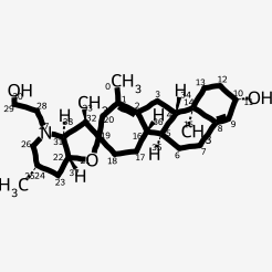 CC1=C2C[C@H]3[C@@H](CCC4=C[C@@H](O)CC[C@@]43C)[C@@H]2CCC2(C1)O[C@@H]1C[C@H](C)CN(CCO)[C@H]1[C@H]2C